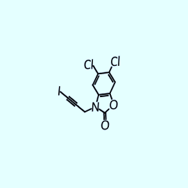 O=c1oc2cc(Cl)c(Cl)cc2n1CC#CI